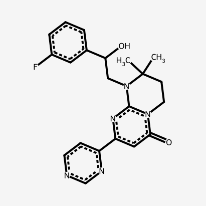 CC1(C)CCn2c(nc(-c3ccncn3)cc2=O)N1CC(O)c1cccc(F)c1